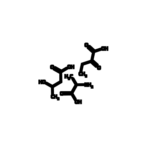 CC(N)C(=O)O.CC(O)CC(=O)O.CCC(=O)C(=O)O